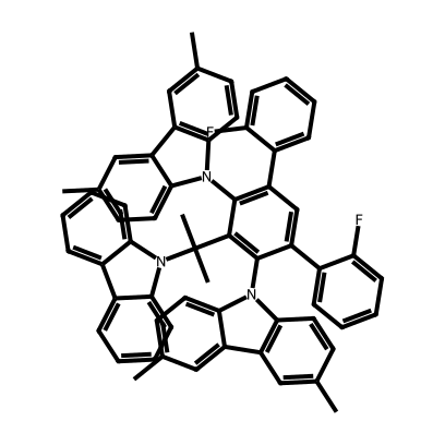 Cc1ccc2c(c1)c1cc(C)ccc1n2-c1c(-c2ccccc2F)cc(-c2ccccc2F)c(-n2c3ccc(C)cc3c3cc(C)ccc32)c1C(C)(C)n1c2ccccc2c2ccccc21